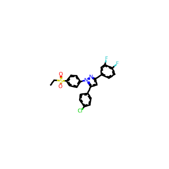 CCS(=O)(=O)c1ccc(-n2nc(-c3ccc(F)c(F)c3)cc2-c2ccc(Cl)cc2)cc1